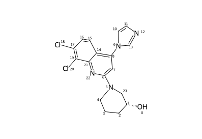 O[C@@H]1CCCN(c2cc(-n3ccnc3)c3ccc(Cl)c(Cl)c3n2)C1